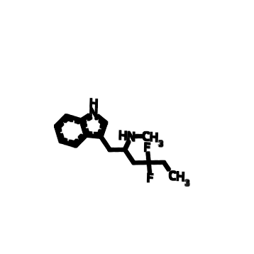 CCC(F)(F)CC(Cc1c[nH]c2ccccc12)NC